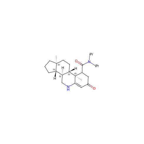 CC(C)N(C(=O)C1CC(=O)C=C2NC[C@H]3[C@@H]4CCC[C@@]4(C)CC[C@@H]3[C@]21C)C(C)C